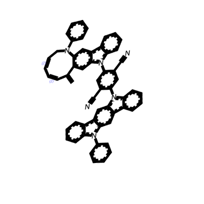 C=C1/C=C\C=C/CN(c2ccccc2)c2cc3c4ccccc4n(-c4cc(C#N)c(-n5c6ccccc6c6cc7c(cc65)c5ccccc5n7-c5ccccc5)cc4C#N)c3cc21